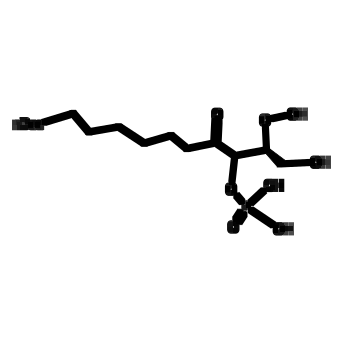 CCCCCCCCCCCCCCCCC(=O)C(OP(=O)(O)O)[C@H](CO)OO